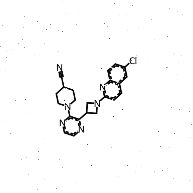 N#CC1CCN(c2nccnc2C2CN(c3ccc4cc(Cl)ccc4n3)C2)CC1